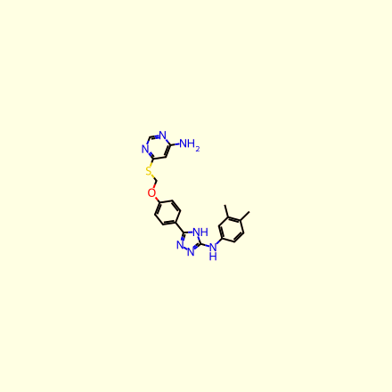 Cc1ccc(Nc2nnc(-c3ccc(OCSc4cc(N)ncn4)cc3)[nH]2)cc1C